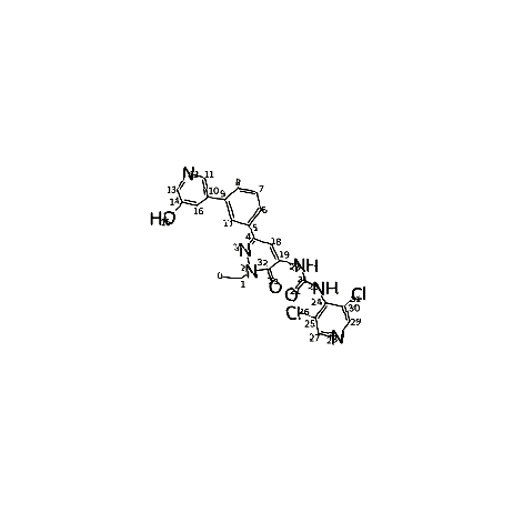 CCn1nc(-c2cccc(-c3cncc(O)c3)c2)cc(NC(=O)Nc2c(Cl)cncc2Cl)c1=O